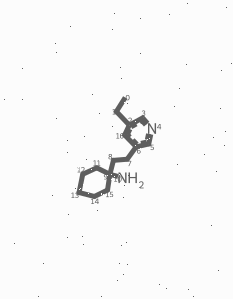 CCc1cncc(CCC2(N)CCCCC2)c1